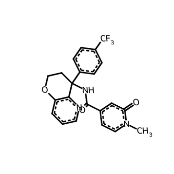 Cn1ccc(C(=O)NC2(c3ccc(C(F)(F)F)cc3)CCOc3cccnc32)cc1=O